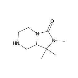 CN1C(=O)N2CCNCC2C1(C)C